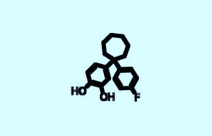 Oc1ccc(C2(c3ccc(F)cc3)CCCCCC2)cc1O